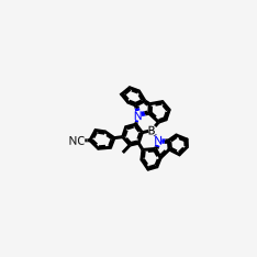 Cc1c(-c2ccc(C#N)cc2)cc2c3c1-c1cccc4c5ccccc5n(c14)B3c1cccc3c4ccccc4n-2c13